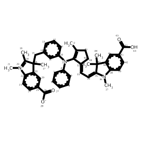 CC1=C(N(c2ccccc2)c2cccc(CC3(C)C(C)=[N+](C)c4ccc(C(=O)[O-])cc43)c2)/C(=C/C=C2/N(C)c3ccc(C(=O)O)cc3C2(C)C)CC1